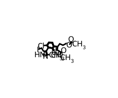 COC(=O)c1c(CCCOC(C)=O)c2ccc(Cl)c(-c3c(C)n[nH]c3CI)c2n1C